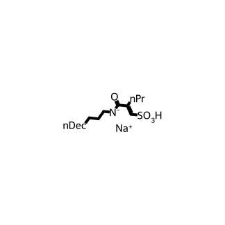 CCCCCCCCCCCCC[N-]C(=O)C(=CS(=O)(=O)O)CCC.[Na+]